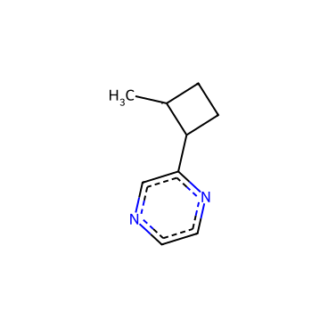 C[C]1CCC1c1cnccn1